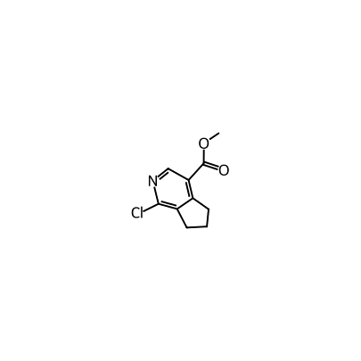 COC(=O)c1cnc(Cl)c2c1CCC2